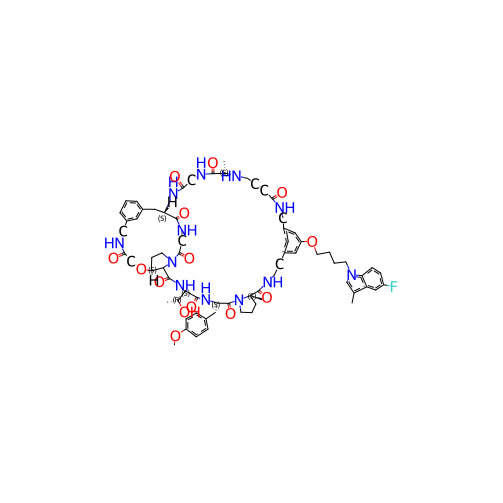 COc1ccc(C[C@@H]2NC(=O)[C@H]([C@@H](C)O)NC(=O)C3[C@@H]4CCN3C(=O)CNC(=O)[C@H](Cc3cccc(c3)CNC(=O)CO4)NC(=O)CNC(=O)[C@H](C)NCCCC(=O)NCc3cc(cc(OCCCCn4cc(C)c5cc(F)ccc54)c3)CCNC(=O)[C@]3(C)CCCN3C2=O)cc1